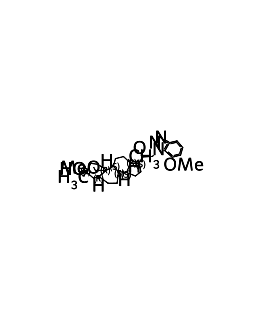 COC[C@]12CC[C@@](C)(O)C[C@H]1CC[C@H]1[C@@H]3CC[C@H](C(=O)Cn4nnc5cccc(OC)c54)[C@@]3(C)CC[C@@H]12